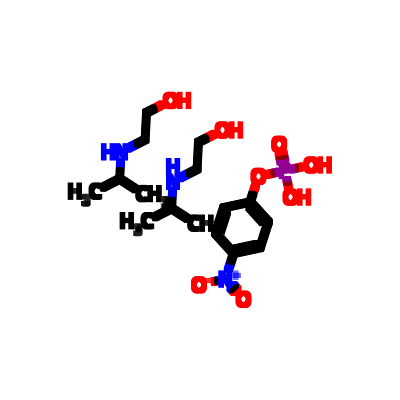 CC(C)NCCO.CC(C)NCCO.O=[N+]([O-])c1ccc(OP(=O)(O)O)cc1